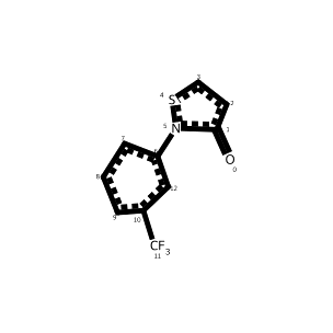 O=c1ccsn1-c1cccc(C(F)(F)F)c1